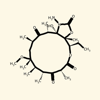 CC[C@H]1OC(=O)[C@H](C)C(=O)[C@H](C)[C@@H](C)[C@](C)(OC)C[C@@H](C)C(=O)[C@H](C)[C@@]2(O)N(N)C(=O)O[C@]12C